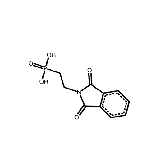 O=C1c2ccccc2C(=O)N1CCP(=O)(O)O